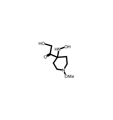 CON1CCC(NO)(C(=O)CO)CC1